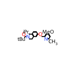 COc1ccc(C)nc1COc1ccc2c(c1)CCN(C(=O)C(C)(C)C)[C@H]2C(C)C